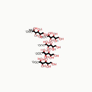 O=C([O-])C(O)C(O)C(O)C(O)CO.O=C([O-])C(O)C(O)C(O)C(O)CO.O=C([O-])C(O)C(O)C(O)C(O)CO.O=C([O-])C(O)C(O)C(O)C(O)CO.O=C([O-])C(O)C(O)C(O)C(O)CO.[Nb+5]